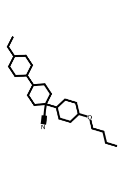 CCCCOC1CCC(C2(C#N)CCC(C3CCC(CC)CC3)CC2)CC1